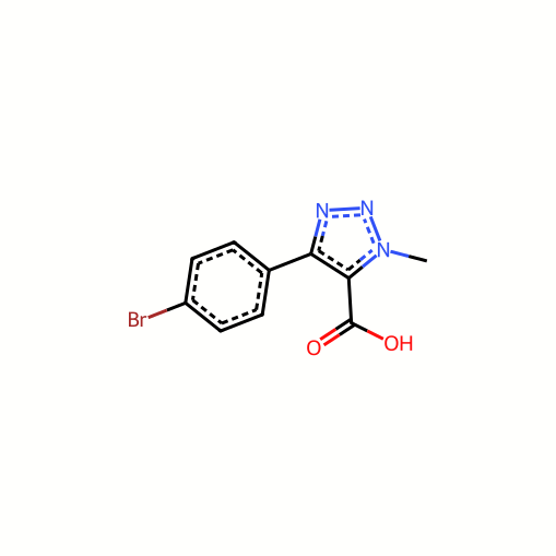 Cn1nnc(-c2ccc(Br)cc2)c1C(=O)O